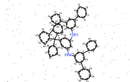 c1ccc(-c2cc(Nc3cc(Nc4cc(-c5ccccc5)cc(-c5ccccc5)c4)cc(C4(c5ccccc5)c5ccccc5-c5ccccc54)c3)cc(-c3ccccc3)c2)cc1